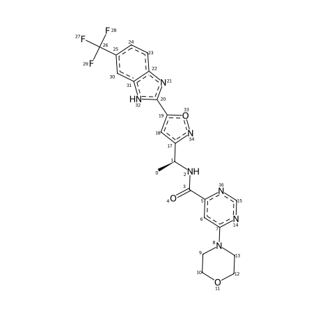 C[C@H](NC(=O)c1cc(N2CCOCC2)ncn1)c1cc(-c2nc3ccc(C(F)(F)F)cc3[nH]2)on1